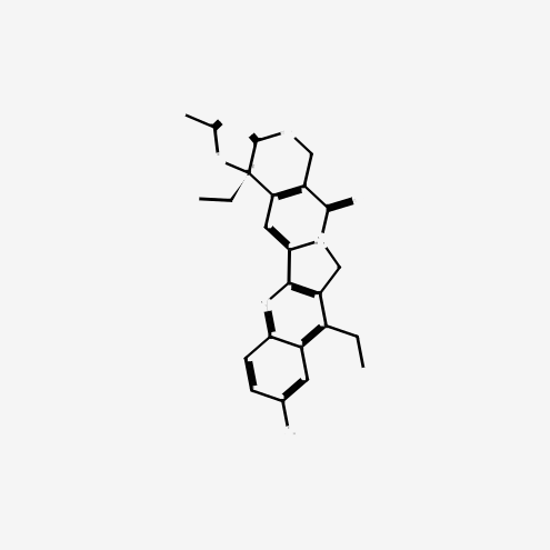 CCc1c2c(nc3ccc(O)cc13)-c1cc3c(c(=O)n1C2)COC(=O)[C@@]3(CC)OC(C)=O